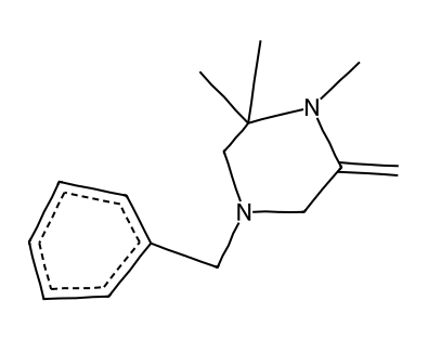 C=C1CN(Cc2ccccc2)CC(C)(C)N1C